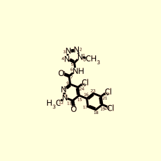 Cn1nnnc1NC(=O)c1nn(C)c(=O)c(-c2ccc(Cl)c(Cl)c2)c1Cl